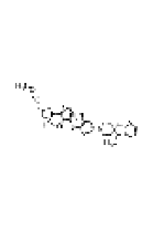 COCOCC1C[C@H]2COc3c(Sc4ncc(N5CCC6(CC5)Cc5ncccc5[C@H]6C)nc4N)ccnc3N2C1